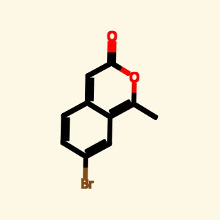 Cc1oc(=O)cc2ccc(Br)cc12